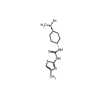 CC(=O)N(C)[C@H]1CC[C@H](NC(=O)Nc2nc(C)cs2)CC1